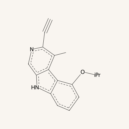 C#Cc1ncc2[nH]c3cccc(OC(C)C)c3c2c1C